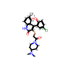 CN(C)C1CCN(C(=O)CSc2c(-c3cc(Cl)ccc3O)c3cc(C(F)(F)F)ccc3[nH]c2=O)CC1